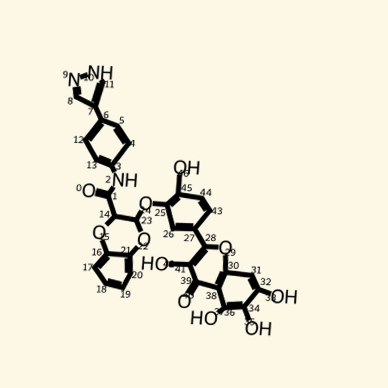 O=C(Nc1ccc(-c2cn[nH]c2)cc1)C1Oc2ccccc2OC1Oc1cc(-c2oc3cc(O)c(O)c(O)c3c(=O)c2O)ccc1O